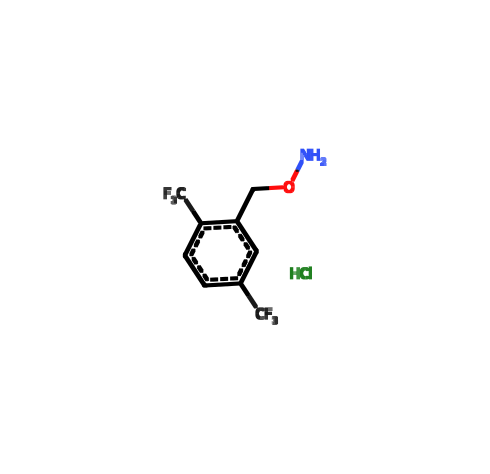 Cl.NOCc1cc(C(F)(F)F)ccc1C(F)(F)F